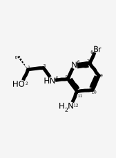 C[C@@H](O)CNc1nc(Br)ccc1N